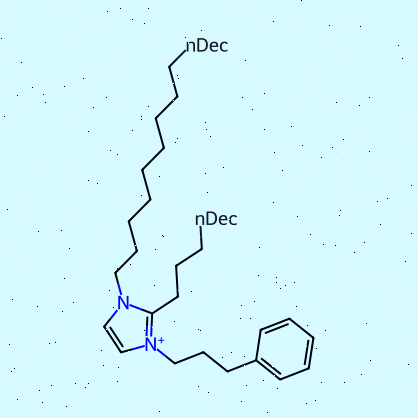 CCCCCCCCCCCCCCCCCCCn1cc[n+](CCCc2ccccc2)c1CCCCCCCCCCCCC